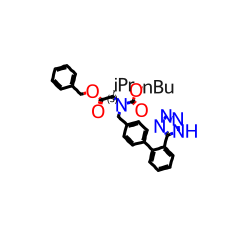 CCCCOC(=O)N(Cc1ccc(-c2ccccc2-c2nnn[nH]2)cc1)[C@H](C(=O)OCc1ccccc1)C(C)C